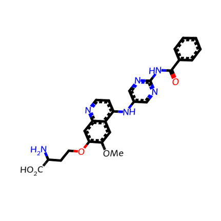 COc1cc2c(Nc3cnc(NC(=O)c4ccccc4)nc3)ccnc2cc1OCCC(N)C(=O)O